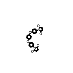 O=C1C=CC(=O)N1c1ccc(Oc2ccc(Oc3ccc(N4C(=O)C=CC4=O)cc3)cc2)cc1